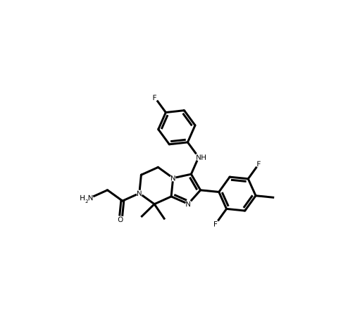 Cc1cc(F)c(-c2nc3n(c2Nc2ccc(F)cc2)CCN(C(=O)CN)C3(C)C)cc1F